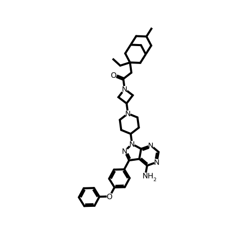 CCC1(CC(=O)N2CC(N3CCC(n4nc(-c5ccc(Oc6ccccc6)cc5)c5c(N)ncnc54)CC3)C2)CC2CC(C)CC(C2)C1